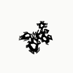 Cc1c(C(=O)N[C@H](c2ccccc2)C2CCCCC2)c2cccc(Cl)c2c(=O)n1-c1ccccc1